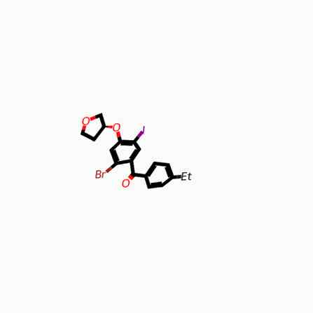 CCc1ccc(C(=O)c2cc(I)c(O[C@H]3CCOC3)cc2Br)cc1